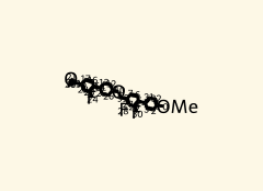 COc1ccc(-c2ccc(COC3CCC(c4ccc(C5CO5)cc4F)CC3)c(F)c2F)cc1